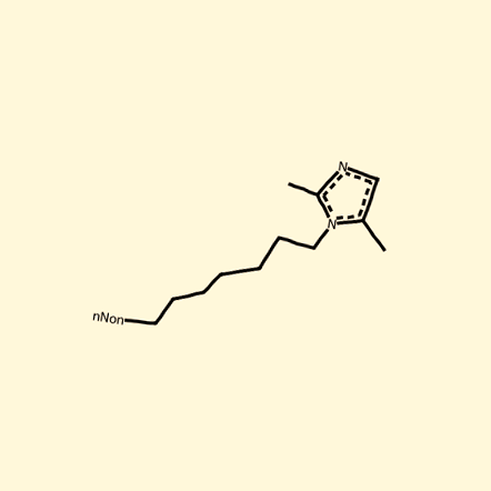 CCCCCCCCCCCCCCCCn1c(C)cnc1C